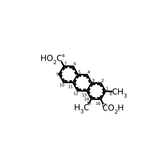 Cc1cc2cc3cc(C(=O)O)ccc3cc2c(C)c1C(=O)O